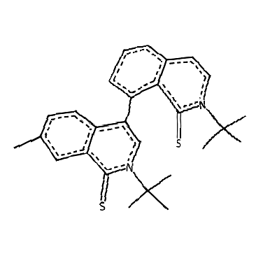 Cc1ccc2c(-c3cccc4ccn(C(C)(C)C)c(=S)c34)cn(C(C)(C)C)c(=S)c2c1